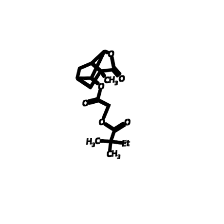 CCC(C)(C)C(=O)OCC(=O)OC1C2CC3C1OC(=O)C3(C)C2